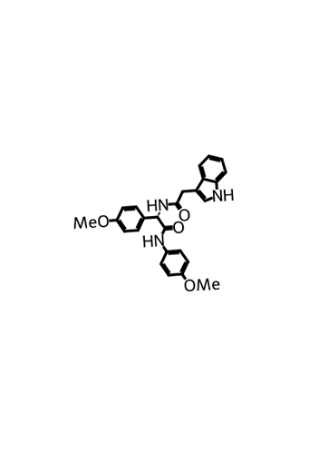 COc1ccc(NC(=O)[C@@H](NC(=O)Cc2c[nH]c3ccccc23)c2ccc(OC)cc2)cc1